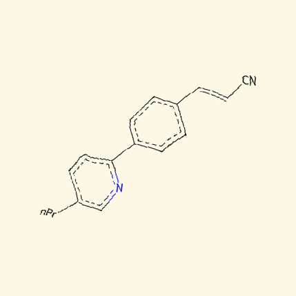 CCCc1ccc(-c2ccc(C=CC#N)cc2)nc1